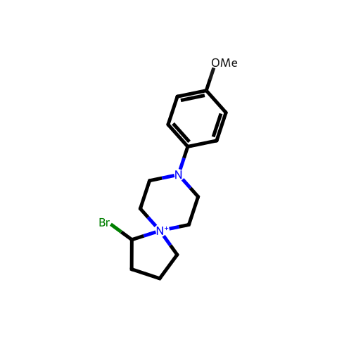 COc1ccc(N2CC[N+]3(CCCC3Br)CC2)cc1